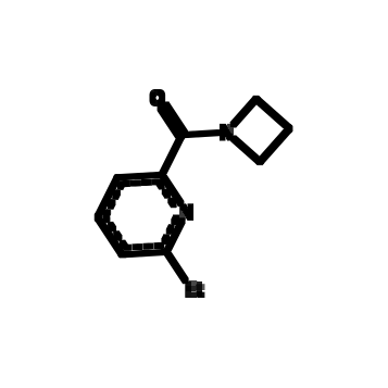 CCc1cccc(C(=O)N2CCC2)n1